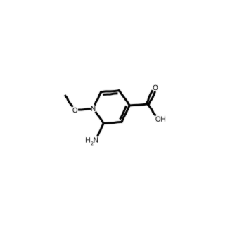 CON1C=CC(C(=O)O)=CC1N